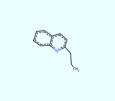 [CH2]CCc1ccc2ccccc2n1